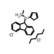 CCCCCC.C[SiH2][Zr+2]([C]1=CC=CC1)[CH]1c2ccccc2-c2ccccc21.[Cl-].[Cl-]